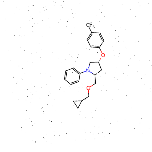 FC(F)(F)c1ccc(O[C@@H]2C[C@@H](COCC3CC3)N(c3ccccc3)C2)cc1